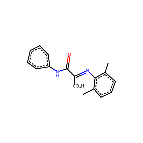 Cc1cccc(C)c1N=C(C(=O)O)C(=O)Nc1ccccc1